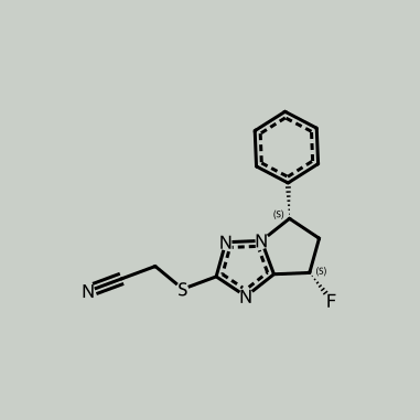 N#CCSc1nc2n(n1)[C@H](c1ccccc1)C[C@@H]2F